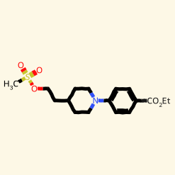 CCOC(=O)c1ccc(N2CCC(CCOS(C)(=O)=O)CC2)cc1